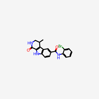 CC1CNC(=O)c2[nH]c3ccc(C(=O)Nc4ccccc4Br)cc3c21